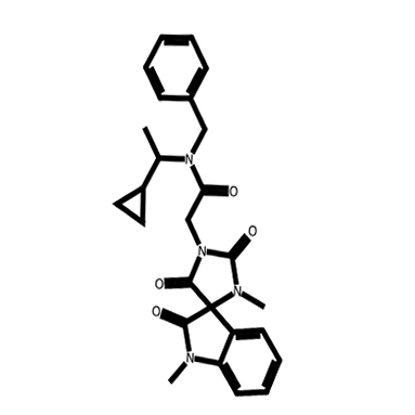 CC(C1CC1)N(Cc1ccccc1)C(=O)CN1C(=O)N(C)C2(C1=O)C(=O)N(C)c1ccccc12